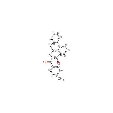 Cc1ccc(C(=O)C(CC=Cc2ccccc2)C(=O)c2ccccc2)cc1